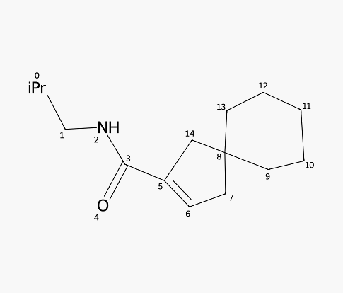 CC(C)CNC(=O)C1=CCC2(CCCCC2)C1